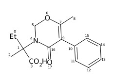 CCC(C)(C(=O)O)N1COC(C)=C(c2ccccc2)C1=O